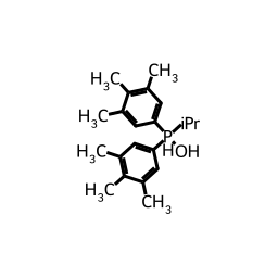 Cc1cc([PH](O)(c2cc(C)c(C)c(C)c2)C(C)C)cc(C)c1C